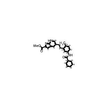 COC(=O)c1cc2cc(CCc3cc(NC(=O)c4ccccc4)ccc3C)c[nH]c-2n1